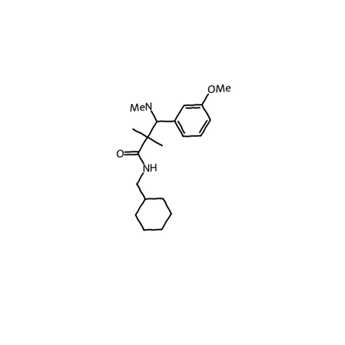 CNC(c1cccc(OC)c1)C(C)(C)C(=O)NCC1CCCCC1